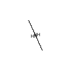 CCCCCCCCCCCCCNNCCCCCCCCCCCCC